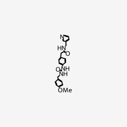 COc1ccc(CNC(=O)Nc2ccc(CC(=O)NCc3cccnc3)cc2)cc1